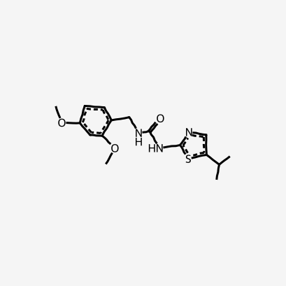 COc1ccc(CNC(=O)Nc2ncc(C(C)C)s2)c(OC)c1